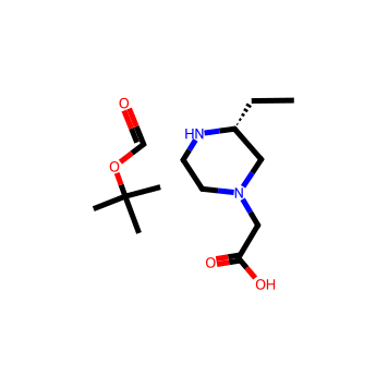 CC(C)(C)OC=O.CC[C@@H]1CN(CC(=O)O)CCN1